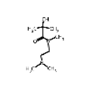 CN(C)CCN(C)C(=O)C(C)(C)C